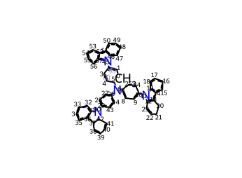 C/C=C(\C=C/CN(C1=CC=C(n2c3c(c4ccccc42)CCC=C3)CC1)c1ccc(N2c3ccccc3C3C=CC=CC32)cc1)n1c2ccccc2c2ccccc21